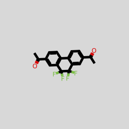 CC(=O)c1ccc2c(c1)C(F)(F)C(F)(F)c1cc(C(C)=O)ccc1-2